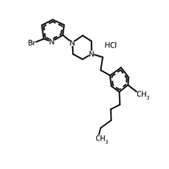 CCCCCc1cc(CCN2CCN(c3cccc(Br)n3)CC2)ccc1C.Cl